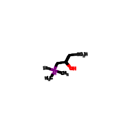 CC[PH](C)(C)CC(O)CS(=O)(=O)O